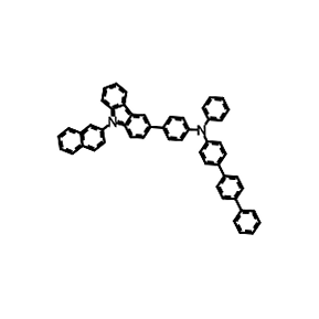 c1ccc(-c2ccc(-c3ccc(N(c4ccccc4)c4ccc(-c5ccc6c(c5)c5ccccc5n6-c5ccc6ccccc6c5)cc4)cc3)cc2)cc1